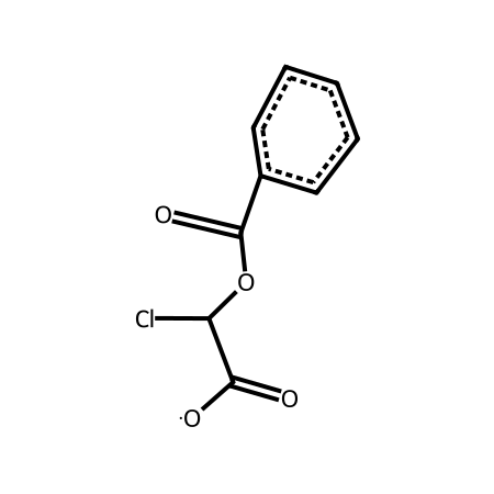 [O]C(=O)C(Cl)OC(=O)c1ccccc1